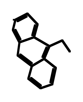 CCc1c2cc[c]cc2cc2ccccc12